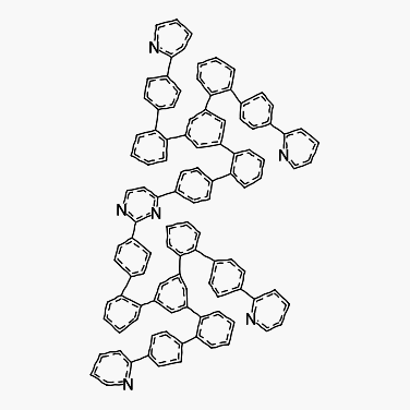 c1ccc(-c2ccc(-c3ccccc3-c3cc(-c4ccccc4-c4ccc(-c5ccccn5)cc4)cc(-c4ccccc4-c4ccc(-c5ccnc(-c6ccc(-c7ccccc7-c7cc(-c8ccccc8-c8ccc(-c9ccccn9)cc8)cc(-c8ccccc8-c8ccc(-c9ccccn9)cc8)c7)cc6)n5)cc4)c3)cc2)nc1